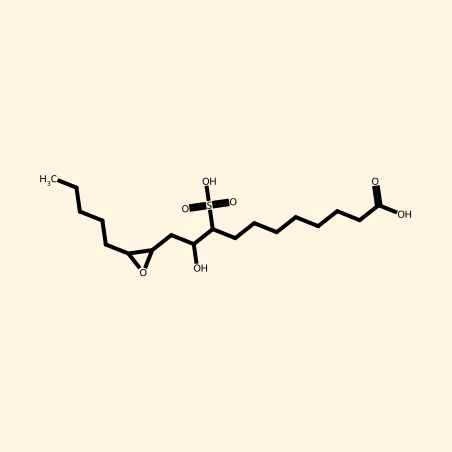 CCCCCC1OC1CC(O)C(CCCCCCCC(=O)O)S(=O)(=O)O